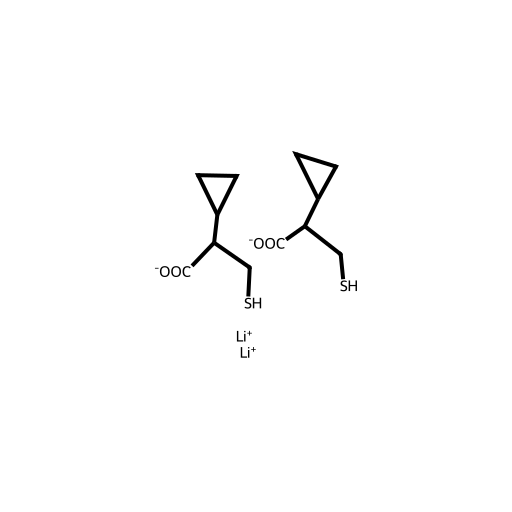 O=C([O-])C(CS)C1CC1.O=C([O-])C(CS)C1CC1.[Li+].[Li+]